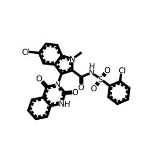 Cn1c(C(=O)NS(=O)(=O)c2ccccc2Cl)c(-n2c(=O)[nH]c3ccccc3c2=O)c2cc(Cl)ccc21